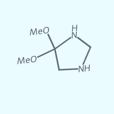 COC1(OC)CNCN1